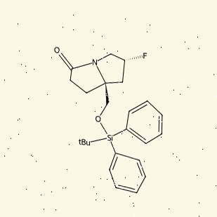 CC(C)(C)[Si](OC[C@@]12CCC(=O)N1C[C@H](F)C2)(c1ccccc1)c1ccccc1